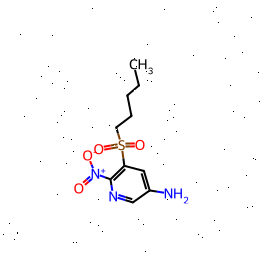 CCCCCS(=O)(=O)c1cc(N)cnc1[N+](=O)[O-]